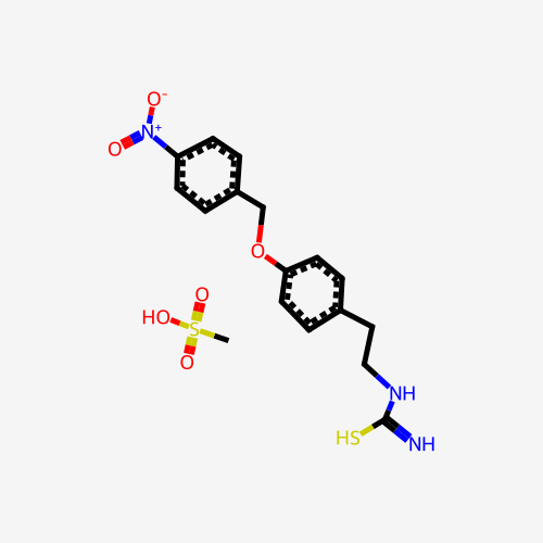 CS(=O)(=O)O.N=C(S)NCCc1ccc(OCc2ccc([N+](=O)[O-])cc2)cc1